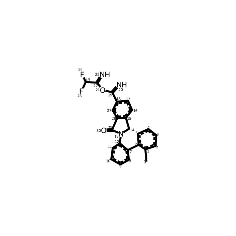 Cc1ccccc1-c1ccccc1N1Cc2ccc(C(=N)OC(=N)C(F)F)cc2C1=O